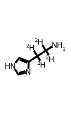 [2H]C([2H])(N)C([2H])([2H])c1c[nH]cn1